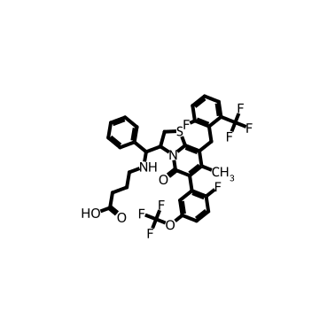 Cc1c(Cc2c(F)cccc2C(F)(F)F)c2n(c(=O)c1-c1cc(OC(F)(F)F)ccc1F)C(C(NCCCC(=O)O)c1ccccc1)CS2